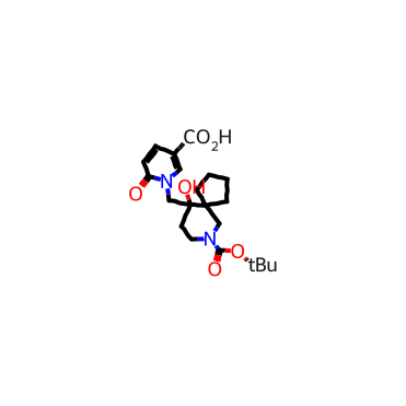 CC(C)(C)OC(=O)N1CCC(O)(Cn2cc(C(=O)O)ccc2=O)C2(CCCC2)C1